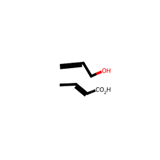 C=CCO.CC=CC(=O)O